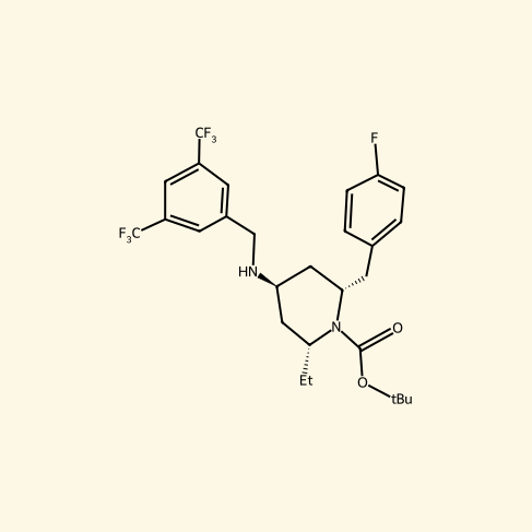 CC[C@@H]1C[C@@H](NCc2cc(C(F)(F)F)cc(C(F)(F)F)c2)C[C@H](Cc2ccc(F)cc2)N1C(=O)OC(C)(C)C